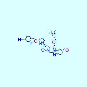 CCCCOCCn1c(CN2CCN(c3cccc(OCc4ccc(C#N)cc4F)n3)C3CCC32)nc2ccc(C=O)cc21